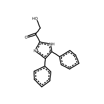 O=C(CO)c1nc(-c2ccccc2)c(-c2ccccc2)[nH]1